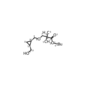 CC(C)(C)OC(=O)C(C)(C)COC[C@@H]1C[C@@H]1CO